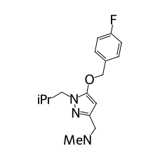 CNCc1cc(OCc2ccc(F)cc2)n(CC(C)C)n1